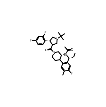 CC[C@@H](NC(C)=O)c1cc(F)c(C)cc1C1CCN(C(=O)C2CN(C(C)(C)C)C[C@H]2c2ccc(F)cc2F)CC1